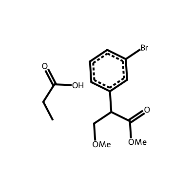 CCC(=O)O.COCC(C(=O)OC)c1cccc(Br)c1